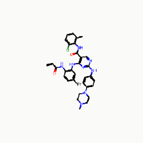 C=CC(=O)Nc1ccc(C(C)C)cc1Nc1nc(Nc2ccc(N3CCN(C)CC3)cc2)ncc1C(=O)Nc1c(C)cccc1Cl